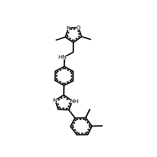 Cc1cccc(-c2cnc(-c3ccc(NCc4c(C)noc4C)cc3)[nH]2)c1C